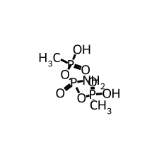 CP(=O)(O)OP(N)(=O)OP(C)(=O)O